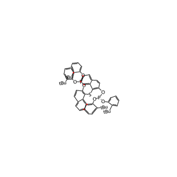 CC(C)(C)c1ccccc1OP(Oc1ccccc1C(C)(C)C)Oc1ccc2ccccc2c1Sc1c(OP(Oc2ccccc2C(C)(C)C)Oc2ccccc2C(C)(C)C)ccc2ccccc12